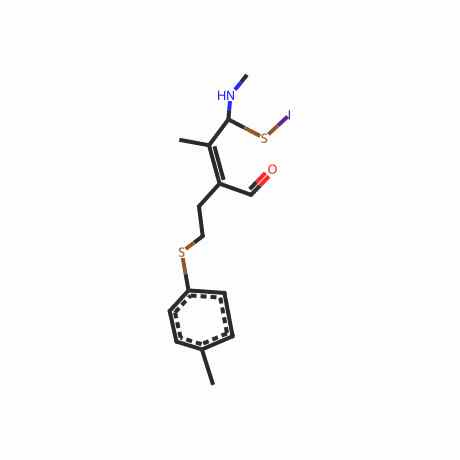 CNC(SI)/C(C)=C(\C=O)CCSc1ccc(C)cc1